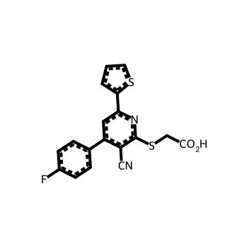 N#Cc1c(-c2ccc(F)cc2)cc(-c2cccs2)nc1SCC(=O)O